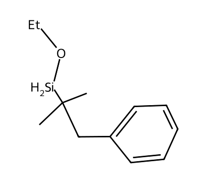 CCO[SiH2]C(C)(C)Cc1ccccc1